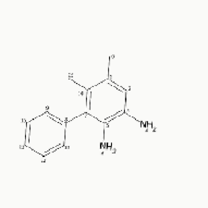 Cc1cc(N)c(N)c(-c2ccccc2)c1C